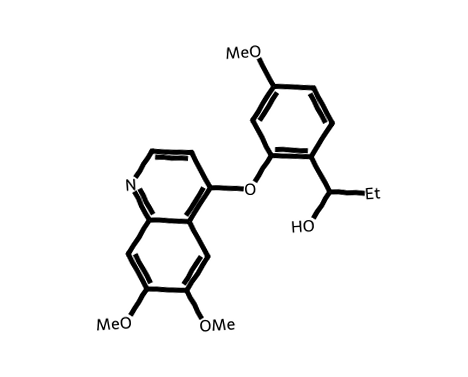 CCC(O)c1ccc(OC)cc1Oc1ccnc2cc(OC)c(OC)cc12